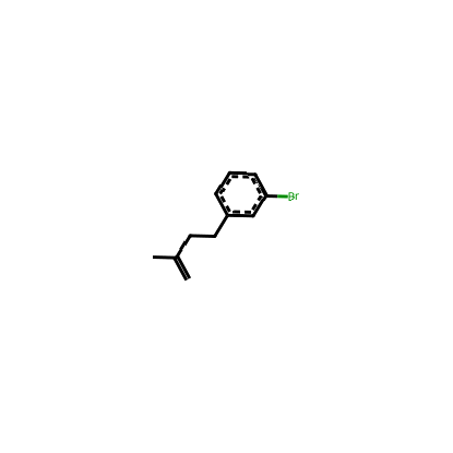 C=C(C)CCc1cccc(Br)c1